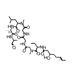 C/C=C/CCC(O)CC(=O)NC(CC)C(=O)N(C)CC(=O)N(C)CC(=O)NCC(=O)N(C)C(CC(C)C)C(=O)N[C@@H](C)C(=O)NC(C)C=O